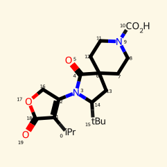 CC(C)C1=C(N2C(=O)C3(CCN(C(=O)O)CC3)CC2C(C)(C)C)COC1=O